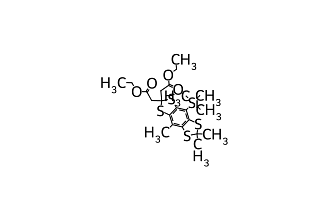 CCOC(=O)CC1(CC(=O)OCC)Sc2c(C)c3c(c([Si](C)(C)C)c2S1)SC(C)(C)S3